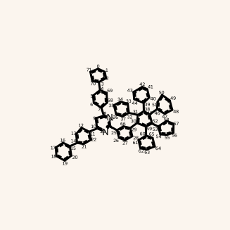 c1ccc(-c2ccc(-c3cc(-c4ccc(-c5ccccc5)cc4)nc(-c4cccc(-c5c(-c6ccccc6)c(-c6ccccc6)c(-c6ccccc6)c(-c6ccccc6)c5-c5ccccc5)c4)n3)cc2)cc1